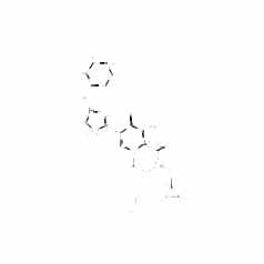 COC[C@@H]1Cn2cc(-c3ncc(Cc4ccc(F)cc4)s3)c(=O)c(O)c2C(=O)N1CC1CC1